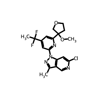 COC1(c2cc(C(C)(F)F)cc(-n3nc(C)c4cnc(Cl)cc43)n2)CCOC1